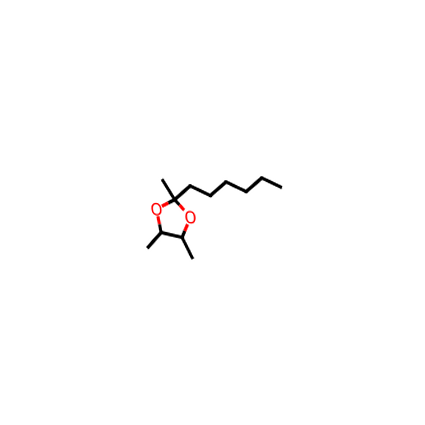 CCCCCCC1(C)OC(C)C(C)O1